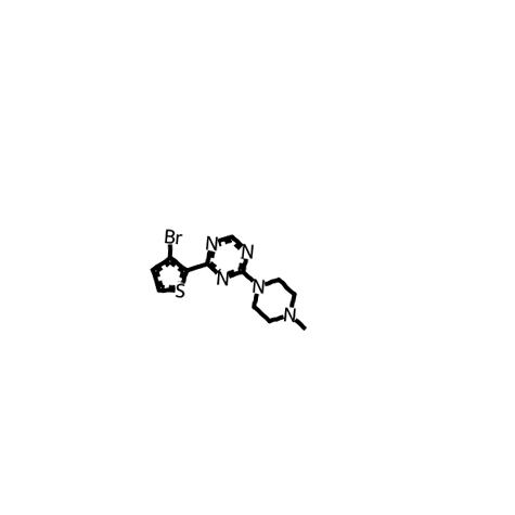 CN1CCN(c2ncnc(-c3sccc3Br)n2)CC1